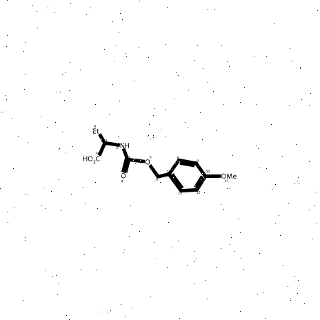 CCC(NC(=O)OCc1ccc(OC)cc1)C(=O)O